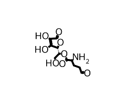 NC(CCC=O)C(=O)OC(CO)[C@H]1OC(=O)C(O)=C1O